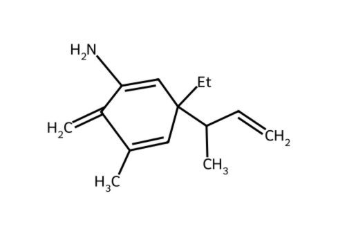 C=CC(C)C1(CC)C=C(C)C(=C)C(N)=C1